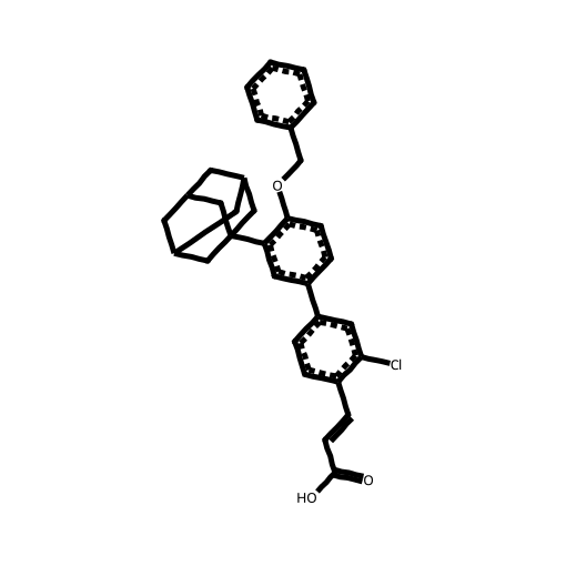 O=C(O)C=Cc1ccc(-c2ccc(OCc3ccccc3)c(C34CC5CC(CC(C5)C3)C4)c2)cc1Cl